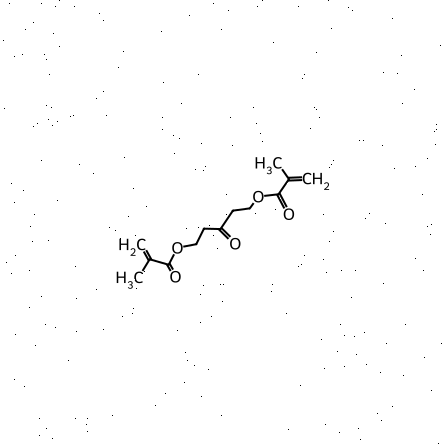 C=C(C)C(=O)OCCC(=O)CCOC(=O)C(=C)C